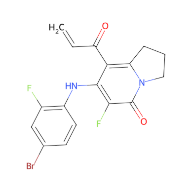 C=CC(=O)c1c(Nc2ccc(Br)cc2F)c(F)c(=O)n2c1CCC2